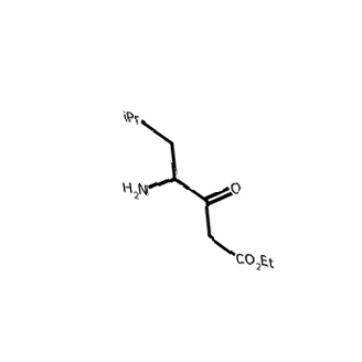 CCOC(=O)CC(=O)C(N)CC(C)C